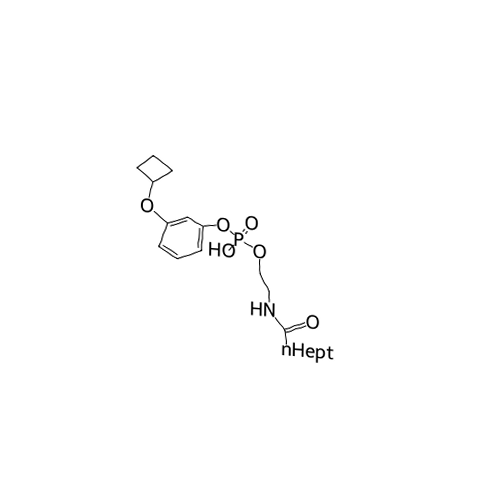 CCCCCCCC(=O)NCCOP(=O)(O)Oc1cccc(OC2CCC2)c1